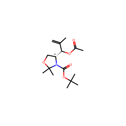 C=C(C)C(OC(C)=O)[C@H]1COC(C)(C)N1C(=O)OC(C)(C)C